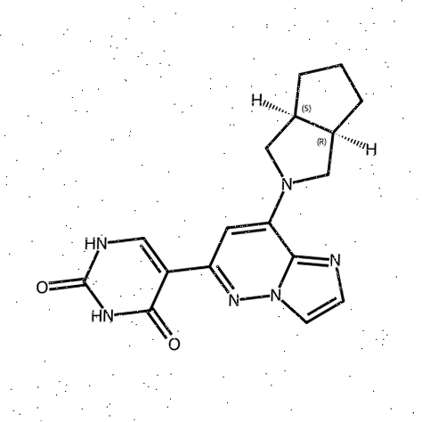 O=c1[nH]cc(-c2cc(N3C[C@H]4CCC[C@H]4C3)c3nccn3n2)c(=O)[nH]1